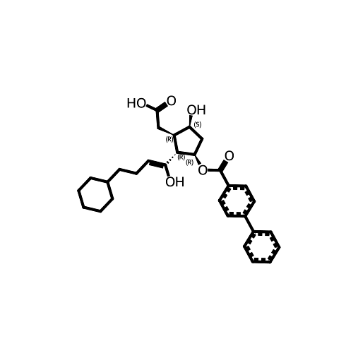 O=C(O)C[C@@H]1[C@@H](C(O)=CCCC2CCCCC2)[C@H](OC(=O)c2ccc(-c3ccccc3)cc2)C[C@@H]1O